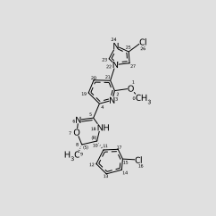 COc1nc(C2=NO[C@@H](C)[C@@H](c3cccc(Cl)c3)N2)ccc1-n1cnc(Cl)c1